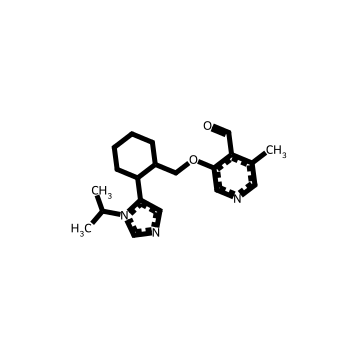 Cc1cncc(OCC2CCCCC2c2cncn2C(C)C)c1C=O